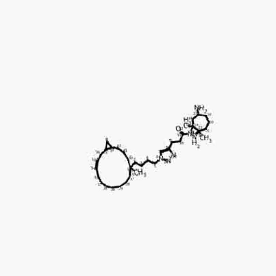 CC1(CCCCn2cc(CCC(=O)NC3(C)CC(N)CCCC3(C)N)nn2)CCCCCCCCCCC2CC2CCC1